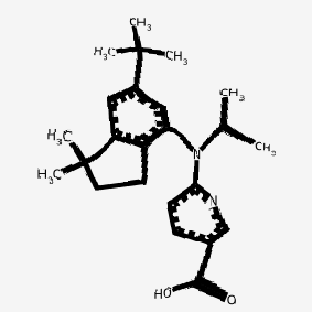 CC(C)N(c1ccc(C(=O)O)cn1)c1cc(C(C)(C)C)cc2c1CCC2(C)C